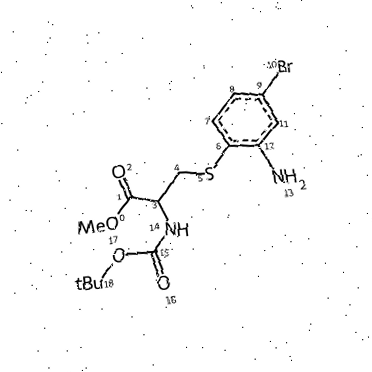 COC(=O)C(CSc1ccc(Br)cc1N)NC(=O)OC(C)(C)C